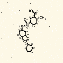 Cc1ccc(S(=O)(=O)Nc2ccc3nc(-c4ccccc4)oc3c2)cc1C(=O)O